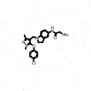 Cc1nn(C)c(Oc2ccc(Cl)cc2)c1CN1CCc2cc(NC(=O)CC(C)(C)C)ccc21